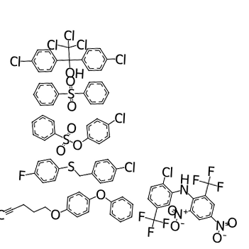 C#CCCCOc1ccc(Oc2ccccc2)cc1.Fc1ccc(SCc2ccc(Cl)cc2)cc1.O=S(=O)(Oc1ccc(Cl)cc1)c1ccccc1.O=S(=O)(c1ccccc1)c1ccccc1.O=[N+]([O-])c1cc([N+](=O)[O-])c(Nc2cc(C(F)(F)F)ccc2Cl)c(C(F)(F)F)c1.OC(c1ccc(Cl)cc1)(c1ccc(Cl)cc1)C(Cl)(Cl)Cl